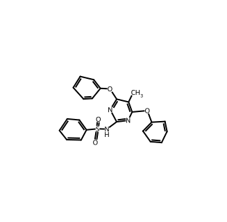 Cc1c(Oc2ccccc2)nc(NS(=O)(=O)c2ccccc2)nc1Oc1ccccc1